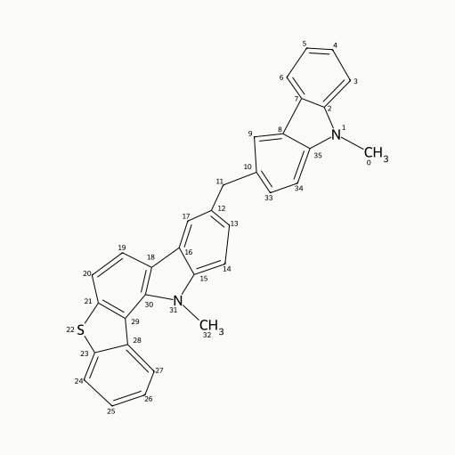 Cn1c2ccccc2c2cc(Cc3ccc4c(c3)c3ccc5sc6ccccc6c5c3n4C)ccc21